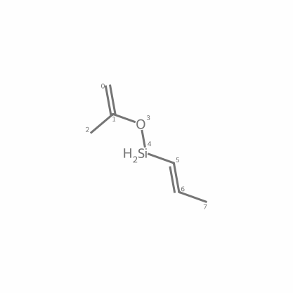 C=C(C)O[SiH2]C=CC